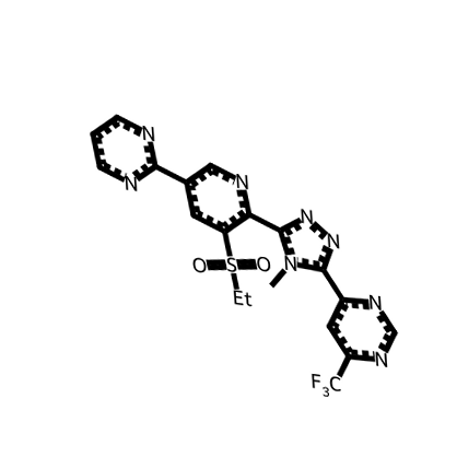 CCS(=O)(=O)c1cc(-c2ncccn2)cnc1-c1nnc(-c2cc(C(F)(F)F)ncn2)n1C